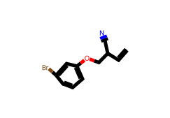 C=CC(C#N)COc1cccc(Br)c1